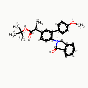 COc1ccc(-c2cc(C(C)C(=O)OC(C)(C)C)ccc2N2Cc3ccccc3C2=O)cc1